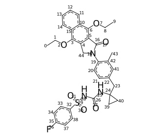 CCOc1c2c(c(OCC)c3ccccc13)C(=O)N(c1ccc(CC3(NC(=O)NS(=O)(=O)c4ccc(F)cc4)CC3)cc1C)C2